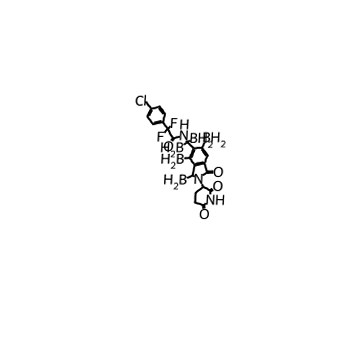 Bc1cc2c(c(B)c1C(B)(B)NC(=O)C(F)(F)c1ccc(Cl)cc1)C(B)N(C1CCC(=O)NC1=O)C2=O